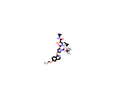 CCOc1ccc2c(O[C@@H]3C[C@@H](C(=O)N[C@@H](CC4CC4)C(O)C(=O)NC4CC4)N(C(=O)OC(C)(C)C)C3)nccc2c1